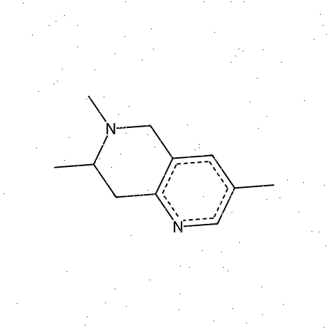 Cc1cnc2c(c1)CN(C)C(C)C2